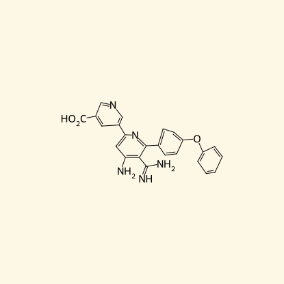 N=C(N)c1c(N)cc(-c2cncc(C(=O)O)c2)nc1-c1ccc(Oc2ccccc2)cc1